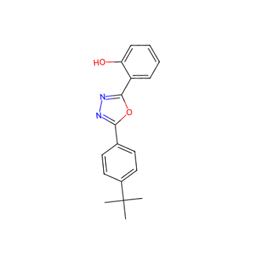 CC(C)(C)c1ccc(-c2nnc(-c3ccccc3O)o2)cc1